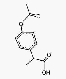 CC(=O)Oc1ccc(C(C)C(=O)O)cc1